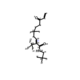 C=CC(=O)CCC(C)(C)C/C=C(/C(=O)NCC(C)(C)C)C(F)(F)F